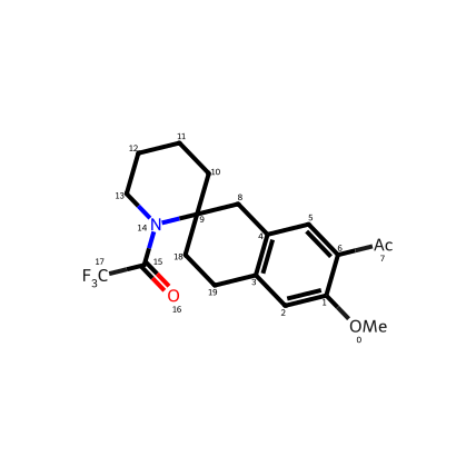 COc1cc2c(cc1C(C)=O)CC1(CCCCN1C(=O)C(F)(F)F)CC2